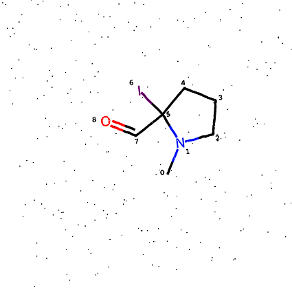 CN1CCCC1(I)C=O